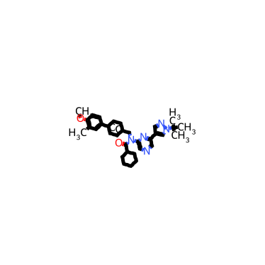 COc1ccc(C23CCC(CN(C(=O)C4CCCCC4)c4cncc(-c5cnn(C(C)(C)C)c5)n4)(CC2)CC3)cc1C